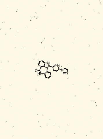 O=C1Nc2ccccc2-n2c(-c3ccc(-n4ccnc4)nc3)nc3cccc1c32